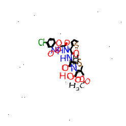 CC(=O)OCC1=C(C(=O)O)N2C(=O)[C@@H](NC(=O)C(NC(=O)COc3ccc(Cl)cc3[N+](=O)[O-])c3cccs3)[C@H]2SC1